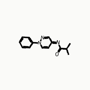 CC(C)C(=O)/N=c1\ccn(-c2ccccc2)nc1